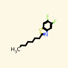 CCCCCCCc1nc2cc(F)c(F)cc2s1